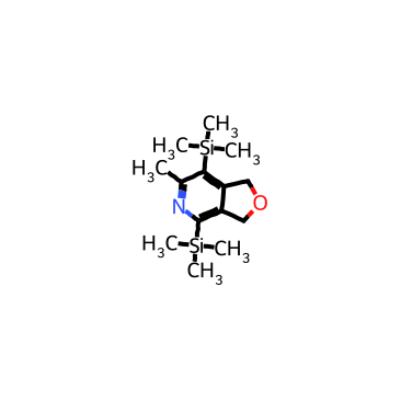 Cc1nc([Si](C)(C)C)c2c(c1[Si](C)(C)C)COC2